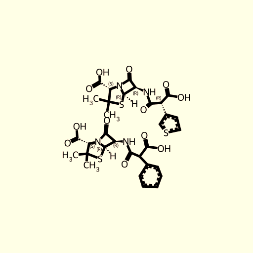 CC1(C)S[C@@H]2[C@H](NC(=O)C(C(=O)O)c3ccccc3)C(=O)N2[C@H]1C(=O)O.CC1(C)S[C@@H]2[C@H](NC(=O)[C@H](C(=O)O)c3ccsc3)C(=O)N2[C@H]1C(=O)O